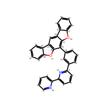 c1ccc(-c2cccc(-c3cccc(-c4c5oc6ccccc6c5cc5c4oc4ccccc45)c3)n2)nc1